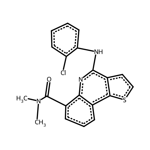 CN(C)C(=O)c1cccc2c1nc(Nc1ccccc1Cl)c1ccsc12